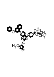 CN1C[C@H](F)C[C@H]1COc1nc2c(c(N3CCN(C(=O)OC(C)(C)C)CC3)n1)CCN(c1cc(Oc3ccccc3)cc3ccccc13)C2